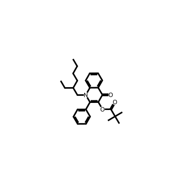 CCCCC(CC)Cn1c(-c2ccccc2)c(OC(=O)C(C)(C)C)c(=O)c2ccccc21